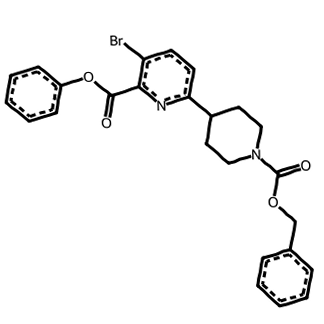 O=C(Oc1ccccc1)c1nc(C2CCN(C(=O)OCc3ccccc3)CC2)ccc1Br